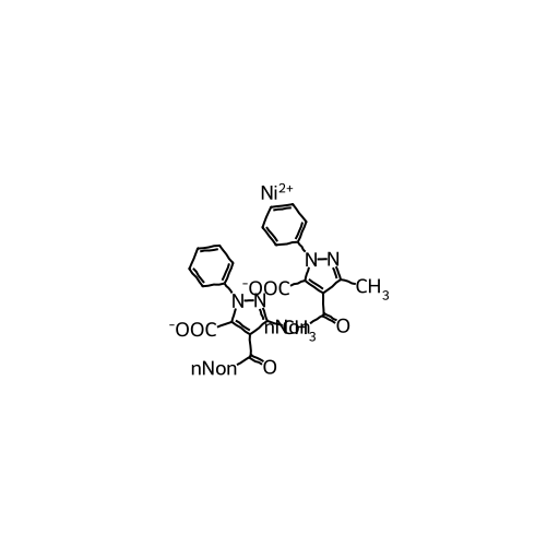 CCCCCCCCCC(=O)c1c(C)nn(-c2ccccc2)c1C(=O)[O-].CCCCCCCCCC(=O)c1c(C)nn(-c2ccccc2)c1C(=O)[O-].[Ni+2]